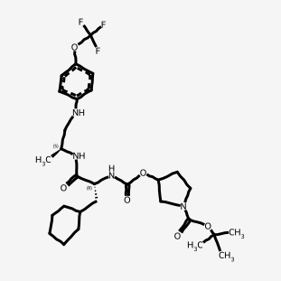 C[C@@H](CNc1ccc(OC(F)(F)F)cc1)NC(=O)[C@@H](CC1CCCCC1)NC(=O)OC1CCN(C(=O)OC(C)(C)C)C1